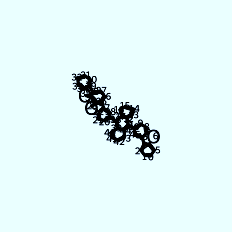 c1ccc2c(c1)oc1ccc(-c3c4ccccc4c(-c4ccc5oc6c(ccc7c8ccccc8oc76)c5c4)c4ccccc34)cc12